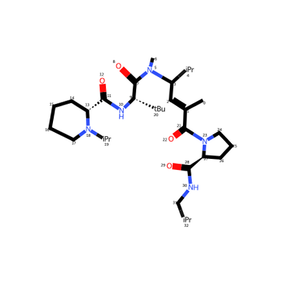 C/C(=C\C(C(C)C)N(C)C(=O)[C@@H](NC(=O)[C@H]1CCCCN1C(C)C)C(C)(C)C)C(=O)N1CCC[C@H]1C(=O)NCC(C)C